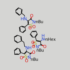 CCCCCCNC1=C(c2ccccc2)S(=O)(=O)N(CCCC)C1=O.CCCCN1C(=O)C(NCCc2ccccc2)=C(c2ccccc2)S1(=O)=O.CCCCN1C(=O)C(NCc2ccccc2)=C(c2ccccc2)S1(=O)=O